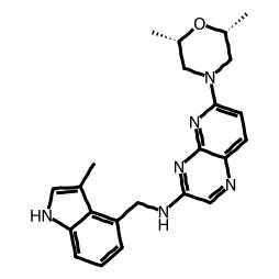 Cc1c[nH]c2cccc(CNc3cnc4ccc(N5C[C@@H](C)O[C@@H](C)C5)nc4n3)c12